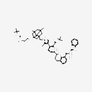 Cc1c(-c2ccc(C3CCc4cccc(C(=O)Nc5nc6ccccc6s5)c4N3)nc2C(=O)OC(C)(C)C)cnn1CC12CC3(C)CC(C)(C1)CC(OCCN(C)C(=O)OC(C)(C)C)(C3)C2